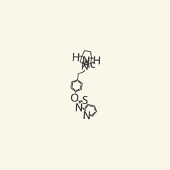 CC(=O)N1[C@@H]2CC[C@H]1CN(CCc1ccc(Oc3nc4ncccc4s3)cc1)C2